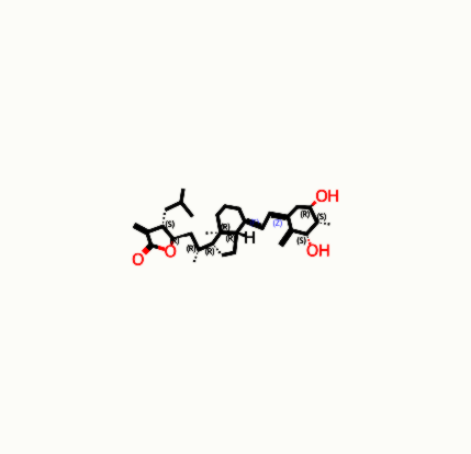 C=C1/C(=C\C=C2/CCC[C@]3(C)[C@@H]([C@H](C)C[C@H]4OC(=O)C(=C)[C@@H]4CC(C)C)CC[C@@H]23)C[C@@H](O)[C@H](C)[C@@H]1O